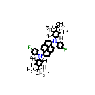 [2H]c1c([2H])c(C(C)(C)C)c([2H])c([2H])c1N(c1ccc(F)cc1)c1ccc2ccc3c(N(c4ccc(F)cc4)c4c([2H])c([2H])c(C(C)(C)C)c([2H])c4[2H])ccc4ccc1c2c43